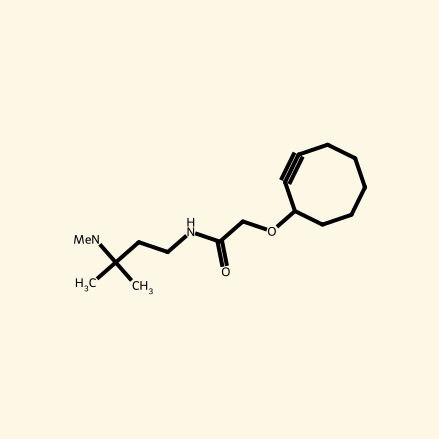 CNC(C)(C)CCNC(=O)COC1C#CCCCCC1